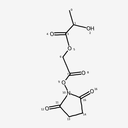 CC(O)C(=O)OCC(=O)ON1C(=O)CCC1=O